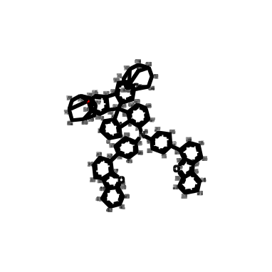 c1ccc2c(c1)-c1c(N(c3ccc(-c4cccc5c4oc4ccccc45)cc3)c3ccc(-c4cccc5c4oc4ccccc45)cc3)cccc1C21c2cc3c(cc2-c2cc4c(cc21)C1CC2CC(CC4C2)C1)C1CC2CC(C1)CC3C2